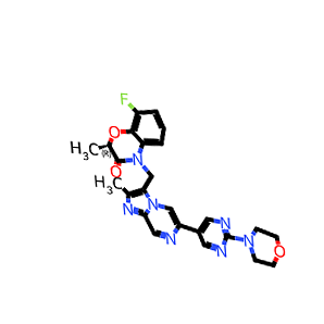 Cc1nc2cnc(-c3cnc(N4CCOCC4)nc3)cn2c1CN1C(=O)[C@@H](C)Oc2c(F)cccc21